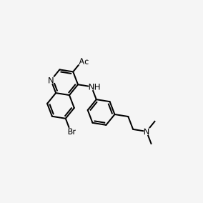 CC(=O)c1cnc2ccc(Br)cc2c1Nc1cccc(CCN(C)C)c1